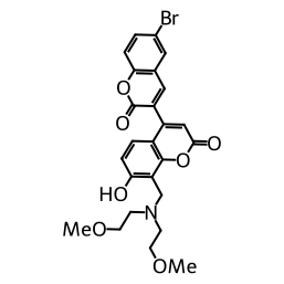 COCCN(CCOC)Cc1c(O)ccc2c(-c3cc4cc(Br)ccc4oc3=O)cc(=O)oc12